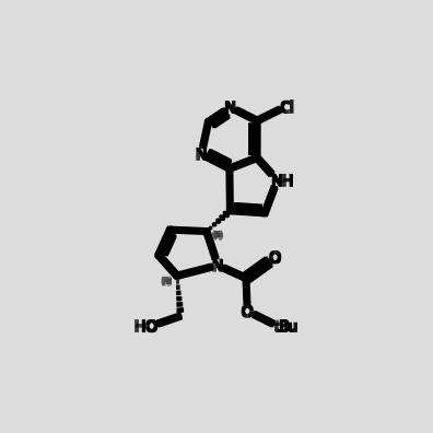 CC(C)(C)OC(=O)N1[C@@H](c2c[nH]c3c(Cl)ncnc23)C=C[C@H]1CO